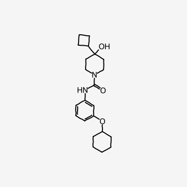 O=C(Nc1cccc(OC2CCCCC2)c1)N1CCC(O)(C2CCC2)CC1